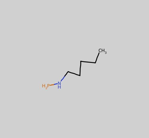 CCCCCNP